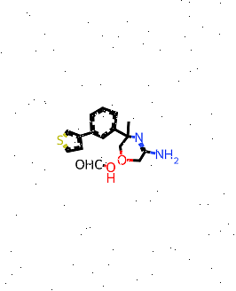 CC1(c2cccc(-c3ccsc3)c2)COCC(N)=N1.O=CO